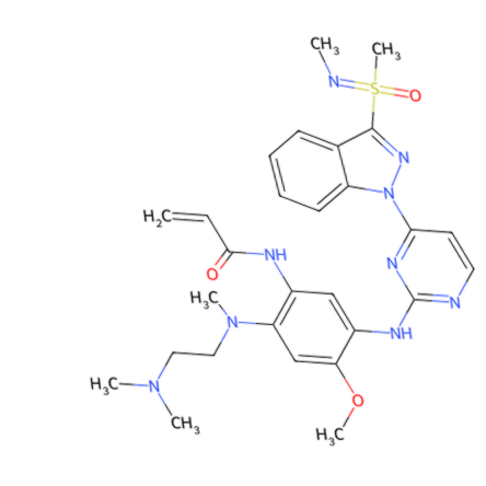 C=CC(=O)Nc1cc(Nc2nccc(-n3nc(S(C)(=O)=NC)c4ccccc43)n2)c(OC)cc1N(C)CCN(C)C